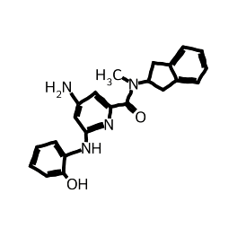 CN(C(=O)c1cc(N)cc(Nc2ccccc2O)n1)C1Cc2ccccc2C1